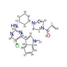 C=CC(=O)N1CCN([C@H]2CCC[C@@H](Nc3ncc(Cl)c(-c4cn(C)c5ccccc45)n3)C2)CC1